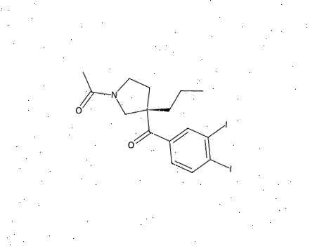 CCC[C@]1(C(=O)c2ccc(I)c(I)c2)CCN(C(C)=O)C1